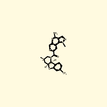 C[C@@H]1C[C@@H]2Oc3cc(C(F)(F)F)ccc3[C@@H]2N(C(=O)c2cc3c(cn2)nc(N)c2cnn(C)c23)C1